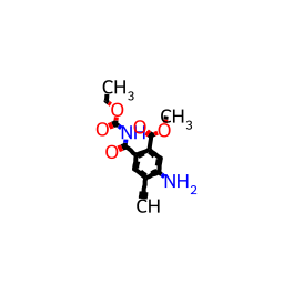 C#Cc1cc(C(=O)NC(=O)OCC)c(C(=O)OC)cc1N